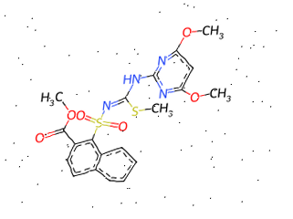 COC(=O)c1ccc2ccccc2c1S(=O)(=O)N=C(Nc1nc(OC)cc(OC)n1)SC